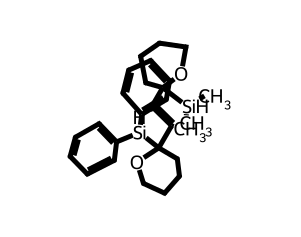 CC(=[C]C1([SiH](C)C)CCCCO1)C1([SiH](c2ccccc2)c2ccccc2)CCCCO1